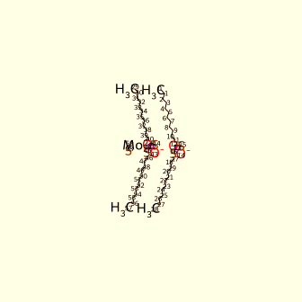 CCCCCCCCCCCCOP([O-])(=S)SCCCCCCCCCCCC.CCCCCCCCCCCCOP([O-])(=S)SCCCCCCCCCCCC.[S]=[Mo+2]